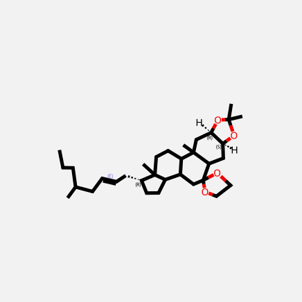 CCCC(C)C/C=C/C[C@H]1CCC2C3CC4(OCCO4)C4C[C@@H]5OC(C)(C)O[C@@H]5CC4(C)C3CCC21C